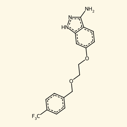 Nc1n[nH]c2cc(OCCOCc3ccc(C(F)(F)F)cc3)ccc12